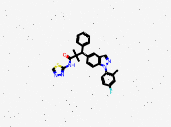 Cc1cc(F)ccc1-n1ncc2cc(C(c3ccccc3)C(C)(C)C(=O)Nc3nncs3)ccc21